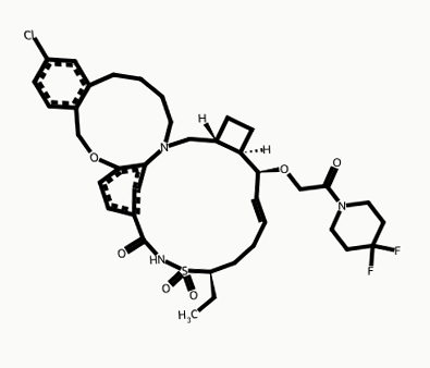 CC[C@@H]1CC/C=C/[C@H](OCC(=O)N2CCC(F)(F)CC2)[C@@H]2CC[C@H]2CN2CCCCc3cc(Cl)ccc3COc3ccc(cc32)C(=O)NS1(=O)=O